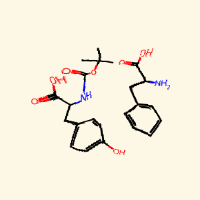 CC(C)(C)OC(=O)NC(Cc1ccc(O)cc1)C(=O)O.NC(Cc1ccccc1)C(=O)O